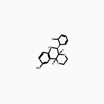 CC(C)(C)c1ccc2c(c1)[C@H]1OCCO[C@H]1[C@H](C1C=CC=CC1F)N2